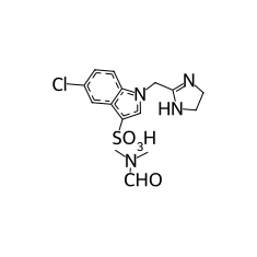 CN(C)C=O.O=S(=O)(O)c1cn(CC2=NCCN2)c2ccc(Cl)cc12